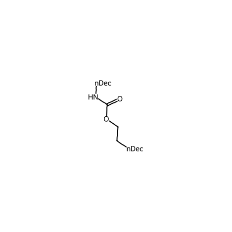 CCCCCCCCCCCCOC(=O)NCCCCCCCCCC